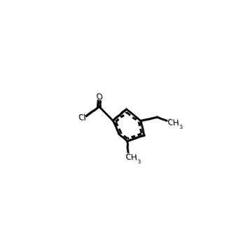 CCc1cc(C)cc(C(=O)Cl)c1